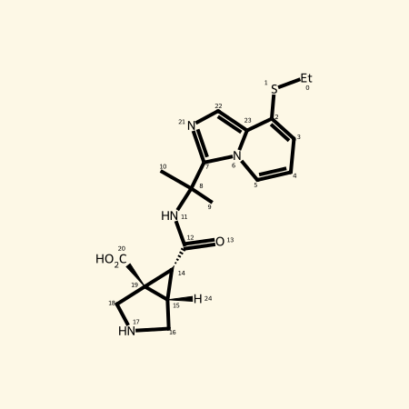 CCSc1cccn2c(C(C)(C)NC(=O)[C@@H]3[C@@H]4CNC[C@]34C(=O)O)ncc12